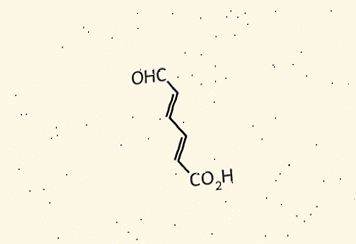 O=C/C=C/C=C/C(=O)O